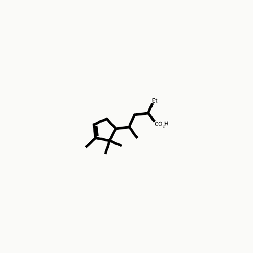 CCC(CC(C)C1CC=C(C)C1(C)C)C(=O)O